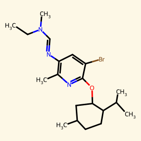 CCN(C)/C=N/c1cc(Br)c(OC2CC(C)CCC2C(C)C)nc1C